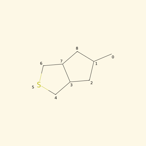 CC1CC2CSCC2C1